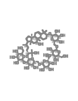 C[C@H](CC[C@@H](O[C@@H]1O[C@H](CO[C@@H]2O[C@H](CO)[C@@H](O)[C@H](O)[C@H]2O)[C@@H](O)[C@H](O)[C@H]1O[C@@H]1O[C@H](CO)[C@@H](O)[C@H](O)[C@H]1O)C(C)(C)O)C1CC[C@@]2(C)C3CC=C4C(CC[C@H](O[C@@H]5O[C@H](CO[C@H]6O[C@H](CO)[C@@H](O)[C@H](O)[C@H]6O)[C@@H](O)[C@H](O)[C@H]5O)C4(C)C)[C@]3(C)[C@H](O)C[C@]12C